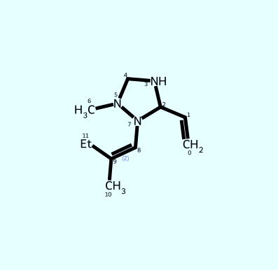 C=CC1NCN(C)N1/C=C(/C)CC